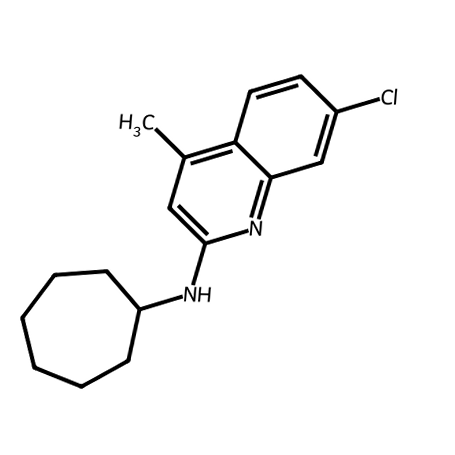 Cc1cc(NC2CCCCCC2)nc2cc(Cl)ccc12